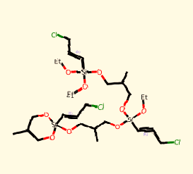 CCO[Si](/C=C/CCl)(OCC)OCC(C)CO[Si](/C=C/CCl)(OCC)OCC(C)CO[Si]1(/C=C/CCl)OCC(C)CO1